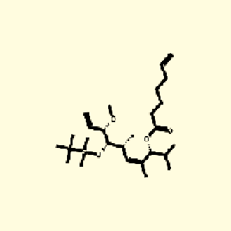 C=CCCCCC(=O)O[C@@H](/C(C)=C\[C@@H](C)[C@H](O[Si](C)(C)C(C)(C)C)[C@H](C=C)OC)C(C)C